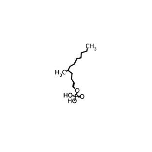 CCCCCCCC(C)CCC=COP(=O)(O)O